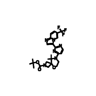 CC(C)(C)OC(=O)N1CC2(C1)OCCN(c1ccnc(-c3cnc4ccc(C(F)(F)F)cn34)n1)C2(C)C